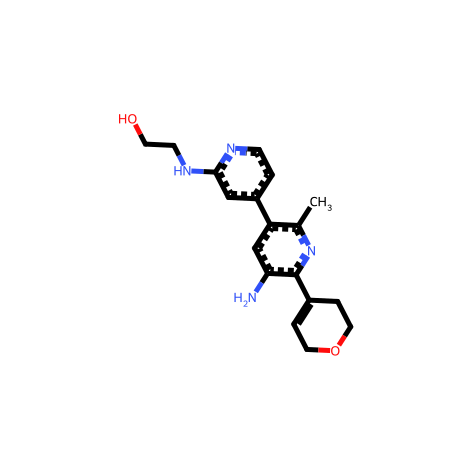 Cc1nc(C2=CCOCC2)c(N)cc1-c1ccnc(NCCO)c1